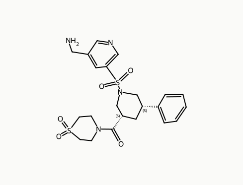 NCc1cncc(S(=O)(=O)N2C[C@@H](C(=O)N3CCS(=O)(=O)CC3)C[C@@H](c3ccccc3)C2)c1